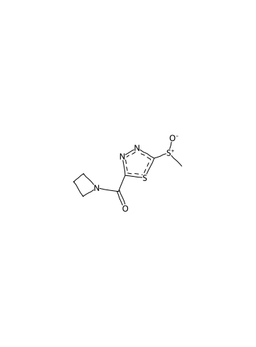 C[S+]([O-])c1nnc(C(=O)N2CCC2)s1